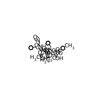 Cc1ccc(S(=O)(=O)OCC(C)(O)C(=O)C(CC(C)C)NC(=O)[C@H](Cc2ccccc2)NC(=O)[C@H](CCC(C)C)NC(=O)[C@H](CCc2ccccc2)NC(=O)CN2CCOCC2)cc1